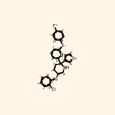 Fc1ccc(Sc2cccc(C3(c4ccsc4)CCC(Sc4ccccc4Cl)CN3)n2)cc1